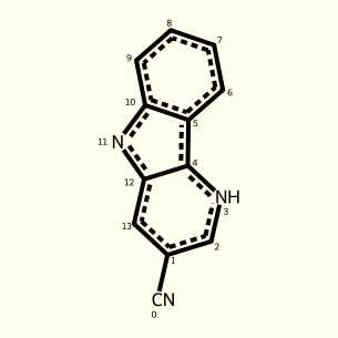 N#Cc1c[nH]c2c3ccccc3nc-2c1